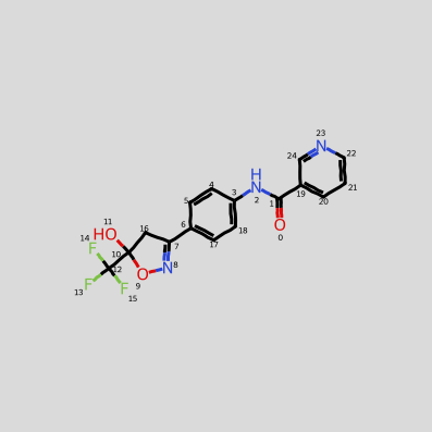 O=C(Nc1ccc(C2=NOC(O)(C(F)(F)F)C2)cc1)c1cccnc1